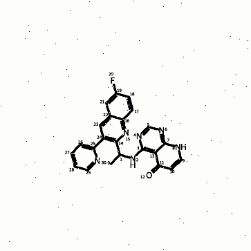 CC(Nc1ncnc2[nH]ccc(=O)c12)c1nc2ccc(F)cc2cc1-c1ccccn1